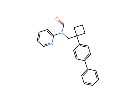 O=CN(CC1(c2ccc(-c3ccccc3)cc2)CCC1)c1ccccn1